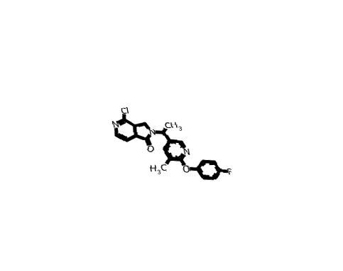 Cc1cc(C(C)N2CC3C(Cl)=NC=CC3C2=O)cnc1Oc1ccc(F)cc1